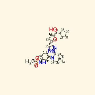 CS(=O)(=O)Nc1ccc(-n2cc(-c3ccc(C(O)C4CCCC4)o3)nn2)c(N2CCC3(CC2)CC3)c1